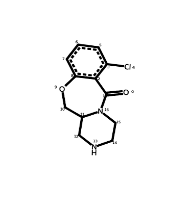 O=C1c2c(Cl)cccc2OCC2CNCCN12